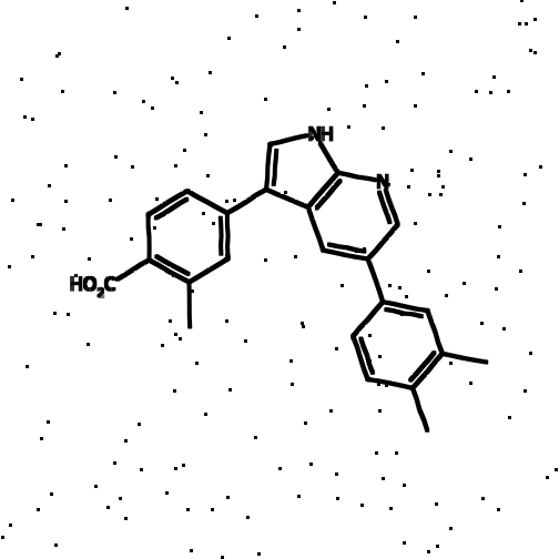 Cc1ccc(-c2cnc3[nH]cc(-c4ccc(C(=O)O)c(C)c4)c3c2)cc1C